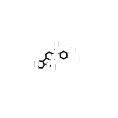 Cc1ccc(Nc2ccc3c4cnccc4n(C)c3n2)cc1O